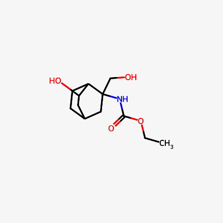 CCOC(=O)NC1(CO)CC2CCC1C(O)C2